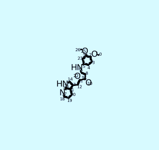 COc1ccc(NC2=CC(=O)C(=Cc3c[nH]c4ncccc34)O2)cc1OC